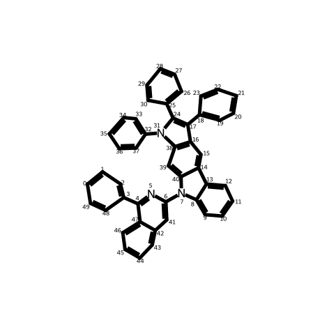 c1ccc(-c2nc(-n3c4ccccc4c4cc5c(-c6ccccc6)c(-c6ccccc6)n(-c6ccccc6)c5cc43)cc3ccccc23)cc1